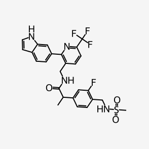 CC(C(=O)NCc1ccc(C(F)(F)F)nc1-c1ccc2cc[nH]c2c1)c1ccc(CNS(C)(=O)=O)c(F)c1